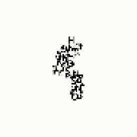 Cc1nc2cccc(SCc3ncc(CN4CCOCC4)s3)c2c(=O)n1C1CCC(=O)NC1=O